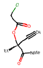 C#C[C@@](CC)(OC(=O)CCl)C(=O)NC